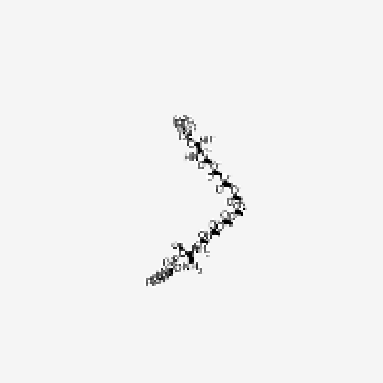 C=O.CC(=O)[O-].CC(=O)[O-].CC(=O)[O-].CC(=O)[O-].CC(=O)[O-].CC(=O)[O-].CC(=O)[O-].CC(=O)[O-].NCC(N)OS[O-].O=S(=O)([O-])[O-].[Fe+2].[Fe+2].[Fe+2].[Fe+2].[Fe+2].[NH-]CC([NH-])OS[O-].[Na+].[Na+].[Na+].[Na+]